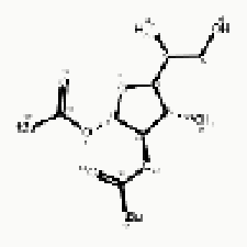 C[C@H]1[C@H]([C@@H](C)CO)O[C@@H](OC(=O)C(C)(C)C)[C@@H]1OC(=O)C(C)(C)C